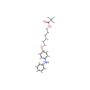 CC(C)(C)C(=O)OCCCCCCOc1ccc(Nc2ccccc2)cc1